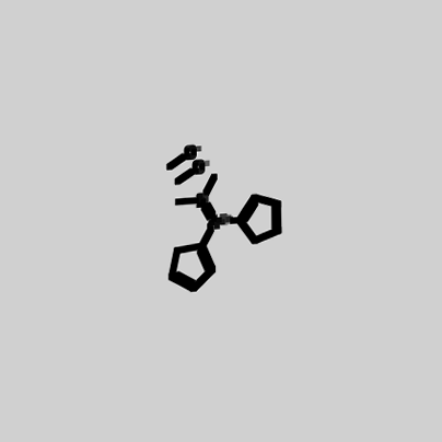 C[O-].C[O-].C[Si](C)=[Zr+2]([C]1=CC=CC1)[C]1=CC=CC1